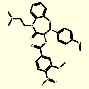 COc1ccc([C@@H]2Sc3ccccc3N(CCN(C)C)C(=O)[C@@H]2OC(=O)c2ccc([N+](=O)[O-])c(OC)c2)cc1